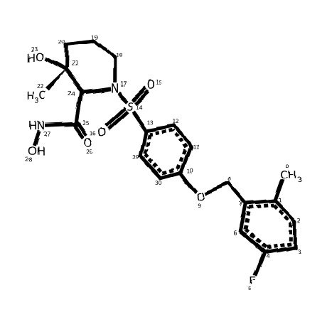 Cc1ccc(F)cc1COc1ccc(S(=O)(=O)N2CCC[C@@](C)(O)C2C(=O)NO)cc1